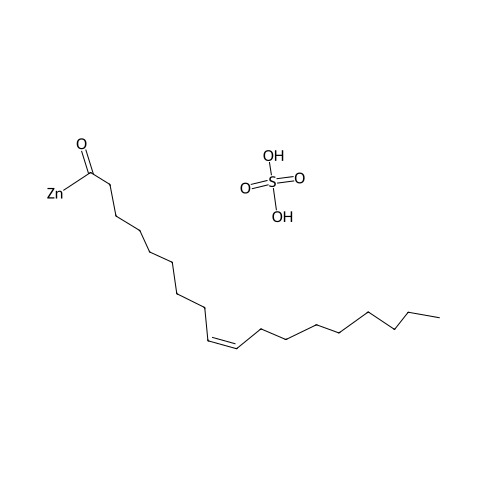 CCCCCCCC/C=C\CCCCCCC[C](=O)[Zn].O=S(=O)(O)O